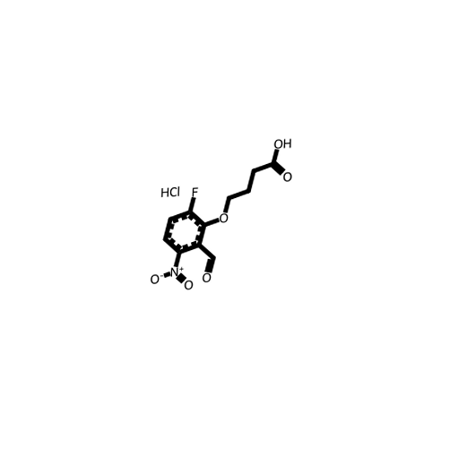 Cl.O=Cc1c([N+](=O)[O-])ccc(F)c1OCCCC(=O)O